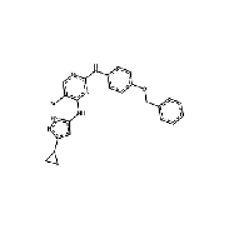 Brc1cnc(Nc2ccc(OCc3ccccc3)cc2)nc1Nc1cc(C2CC2)n[nH]1